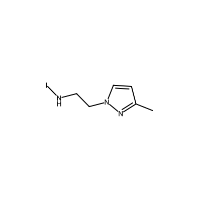 Cc1ccn(CCNI)n1